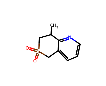 CC1CS(=O)(=O)Cc2cccnc21